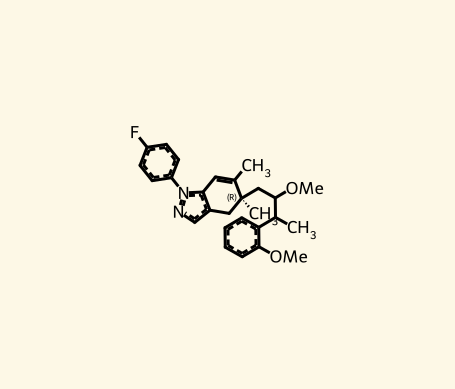 COc1ccccc1C(C)C(C[C@@]1(C)Cc2cnn(-c3ccc(F)cc3)c2C=C1C)OC